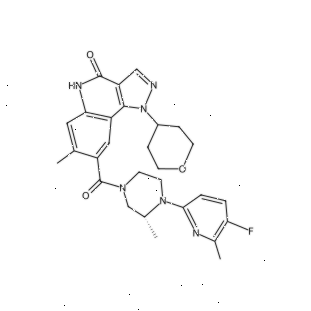 Cc1cc2[nH]c(=O)c3cnn(C4CCOCC4)c3c2cc1C(=O)N1CCN(c2ccc(F)c(C)n2)[C@H](C)C1